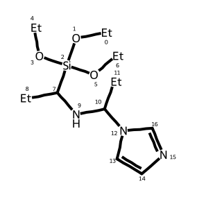 CCO[Si](OCC)(OCC)C(CC)NC(CC)n1ccnc1